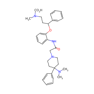 CN(CCC(Oc1ccccc1NC(=O)CN1CCC(c2ccccc2)(N(C)C)CC1)c1ccccc1)C(=O)O